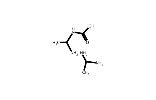 CC(N)N.CC(N)NC(=O)O